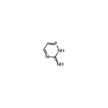 N=c1nccp[nH]1